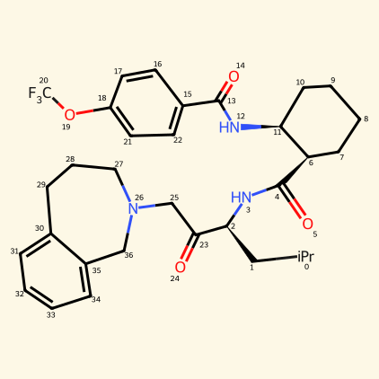 CC(C)C[C@H](NC(=O)[C@@H]1CCCC[C@@H]1NC(=O)c1ccc(OC(F)(F)F)cc1)C(=O)CN1CCCc2ccccc2C1